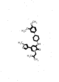 COc1ccc([C@H]2CC[C@@H](Nc3cc(-c4cnn(C)c4)cn(CC(C)C)c3=O)CC2)cc1OC